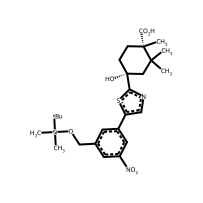 CC1(C)C[C@@](O)(c2ncc(-c3cc(CO[Si](C)(C)C(C)(C)C)cc([N+](=O)[O-])c3)s2)CC[C@]1(C)C(=O)O